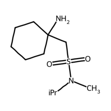 CC(C)N(C)S(=O)(=O)CC1(N)CCCCC1